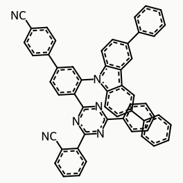 N#Cc1ccc(-c2ccc(-c3nc(-c4ccccc4)nc(-c4ccccc4C#N)n3)c(-n3c4ccc(-c5ccccc5)cc4c4cc(-c5ccccc5)ccc43)c2)cc1